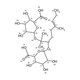 CC/C=C(\C)CCC(OC1OC(C(=O)O)C(O)C(O)C1O)C(C)(C)OC1OC(C(=O)O)C(O)C(O)C1O